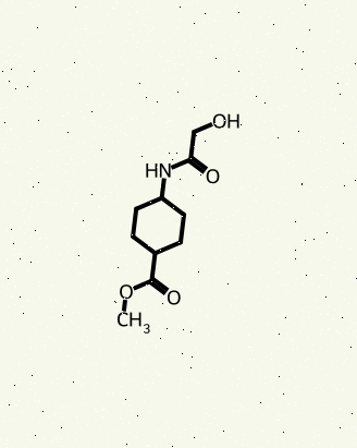 COC(=O)C1CCC(NC(=O)CO)CC1